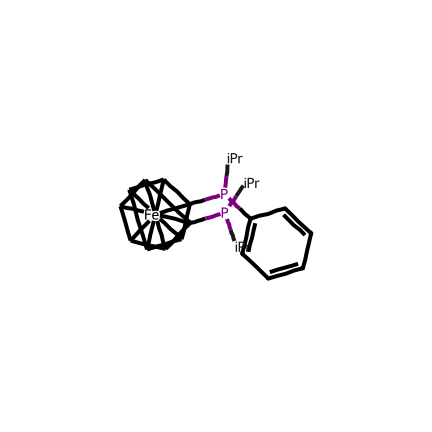 CC(C)P(c1ccccc1)[C]12[CH]3[CH]4[CH]5[CH]1[Fe]45321678[CH]2[CH]1[CH]6[C]7(P(C(C)C)C(C)C)[CH]28